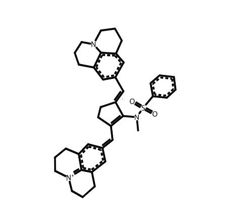 CN(C1=C(C=c2cc3c4c(c2)CCC[N+]=4CCC3)CC/C1=C\c1cc2c3c(c1)CCCN3CCC2)S(=O)(=O)c1ccccc1